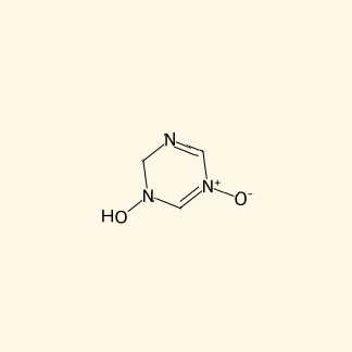 [O-][N+]1=CN(O)CN=C1